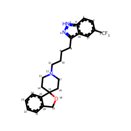 FC(F)(F)c1ccc2[nH]nc(CCCCN3CCC4(CC3)OCc3ccccc34)c2c1